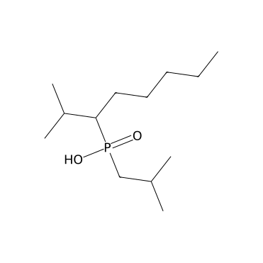 CCCCCC(C(C)C)P(=O)(O)CC(C)C